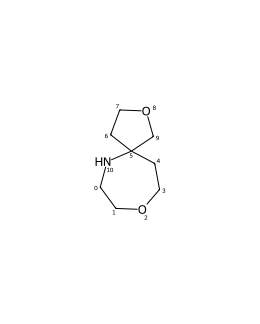 C1COCCC2(CCOC2)N1